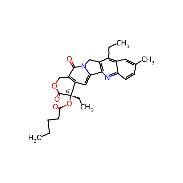 CCCCC(=O)O[C@]1(CC)C(=O)OCc2c1cc1n(c2=O)Cc2c-1nc1ccc(C)cc1c2CC